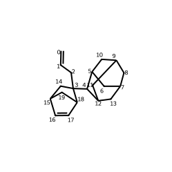 C=CCC1(C2C3CC4CC(C3)CC2C4)CC2C=CC1C2